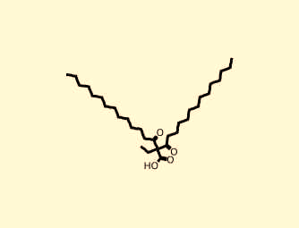 CCCCCCCCCCCCCC(=O)C(CC)(C(=O)O)C(=O)CCCCCCCCCCCCC